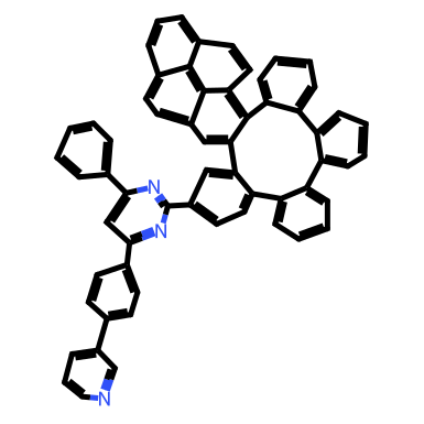 c1ccc(-c2cc(-c3ccc(-c4cccnc4)cc3)nc(-c3ccc4c5ccccc5c5ccccc5c5ccccc5c5c(cc6ccc7cccc8ccc5c6c78)c4c3)n2)cc1